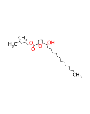 CCCCCCCCCCCCCC(O)c1ccc(C(=O)OCCCC(C)C)o1